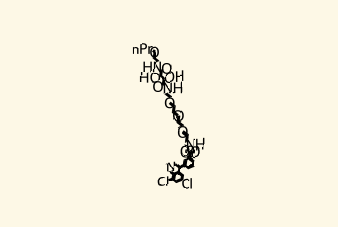 CCCOCCNC(=O)C(O)C(O)C(=O)NCCOCCOCCOCCNS(=O)(=O)c1cccc(C2CN(C)Cc3c(Cl)cc(Cl)cc32)c1